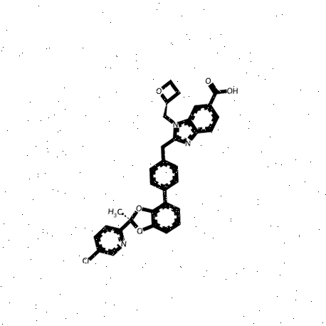 C[C@@]1(c2ccc(Cl)cn2)Oc2cccc(-c3ccc(Cc4nc5ccc(C(=O)O)cc5n4C[C@@H]4CCO4)cc3)c2O1